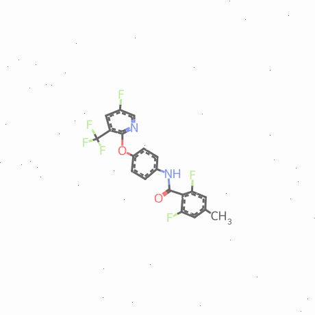 Cc1cc(F)c(C(=O)Nc2ccc(Oc3ncc(F)cc3C(F)(F)F)cc2)c(F)c1